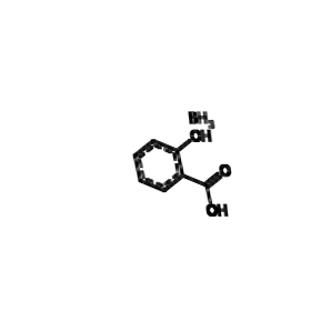 B.O=C(O)c1ccccc1O